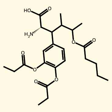 CCCCC(=O)OC(C)C(C)C(c1ccc(OC(=O)CC)c(OC(=O)CC)c1)[C@H](N)C(=O)O